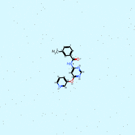 Cc1cccc(C(=O)Nc2cc(Oc3cccnc3)ncn2)c1